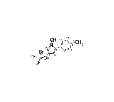 Cc1ccc(-c2cc(OC(F)(F)Br)nn2C)cc1